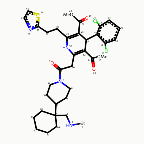 CCNCC1(C2CCN(C(=O)CC3=C(C(=O)OC)C(c4c(Cl)cccc4Cl)C(C(=O)OC)=C(CCc4nccs4)N3)CC2)CCCCC1